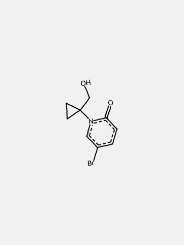 O=c1ccc(Br)cn1C1(CO)CC1